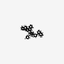 c1ccc(-c2nc(-c3cccc(-c4cccc5ccccc45)c3)nc(-c3cc4ccccc4c4c3ccc3c5ccccc5ccc34)n2)cc1